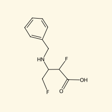 O=C(O)C(F)C(CF)NCc1ccccc1